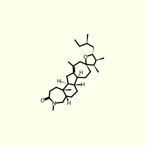 CC[C@@H](C)C[C@H]1O[C@]2(CC[C@@H]3C(=C(C)C2)C[C@H]2[C@H]3CC[C@@H]3CN(C)C(=O)CC[C@@]32C)[C@H](C)[C@@H]1C